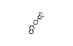 Nc1cc(C2CCN(c3ccc4ccccc4n3)CC2)n[nH]1